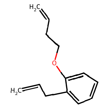 C=CCCOc1ccccc1CC=C